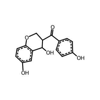 O=C(c1ccc(O)cc1)C1COc2ccc(O)cc2C1O